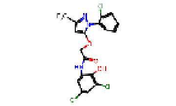 O=C(COc1cc(C(F)(F)F)nn1-c1ccccc1Cl)Nc1cc(Cl)cc(Cl)c1O